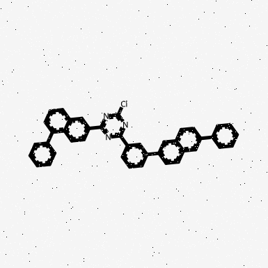 Clc1nc(-c2cccc(-c3ccc4cc(-c5ccccc5)ccc4c3)c2)nc(-c2ccc3c(-c4ccccc4)cccc3c2)n1